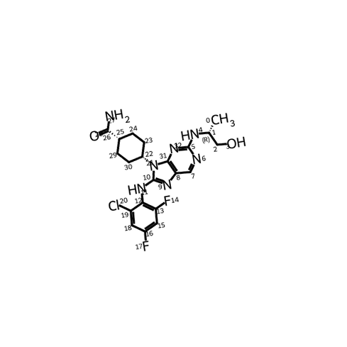 C[C@H](CO)Nc1ncc2nc(Nc3c(F)cc(F)cc3Cl)n([C@H]3CC[C@@H](C(N)=O)CC3)c2n1